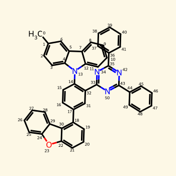 Cc1ccc2c(c1)c1ccccc1n2-c1ccc(-c2cccc3oc4ccccc4c23)cc1-c1nc(-c2ccccc2)nc(-c2ccccc2)n1